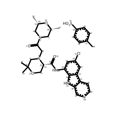 C[C@@H]1CN(C(=O)CN2CC(C)(C)OC[C@H]2C(=O)Nc2cc(Cl)cc3c2[nH]c2cnccc23)C[C@H](C)O1.Cc1ccc(S(=O)(=O)O)cc1